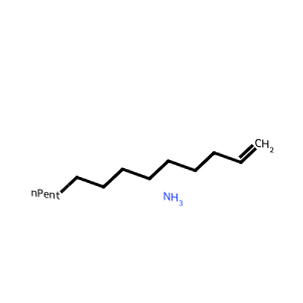 C=CCCCCCCCCCCCC.N